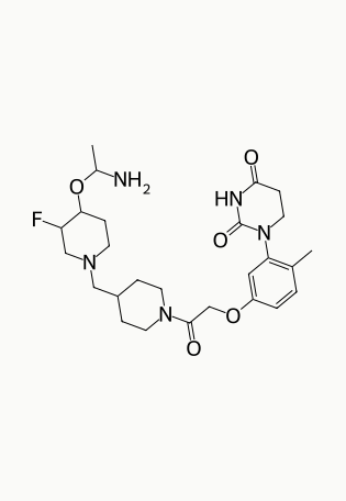 Cc1ccc(OCC(=O)N2CCC(CN3CCC(OC(C)N)C(F)C3)CC2)cc1N1CCC(=O)NC1=O